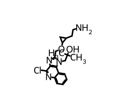 CC(C)(O)Cn1c(COC2CC2CCN)nc2c(Cl)nc3ccccc3c21